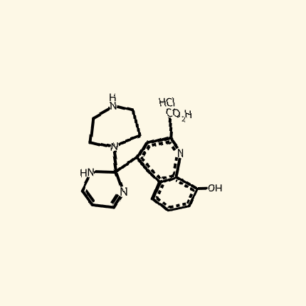 Cl.O=C(O)c1cc(C2(N3CCNCC3)N=CC=CN2)c2cccc(O)c2n1